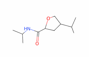 CC(C)NC(=O)C1CC(C(C)C)CO1